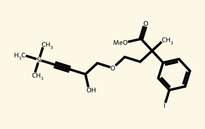 COC(=O)C(C)(CCOCC(O)C#C[Si](C)(C)C)c1cccc(I)c1